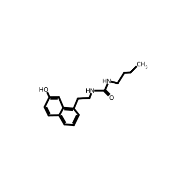 CCCCNC(=O)NCCc1cccc2ccc(O)cc12